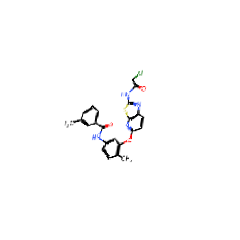 Cc1ccc(NC(=O)c2cccc(C(F)(F)F)c2)cc1Oc1ccc2nc(NC(=O)CCl)sc2n1